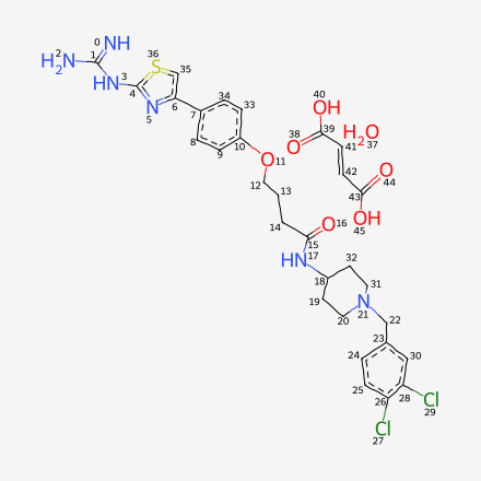 N=C(N)Nc1nc(-c2ccc(OCCCC(=O)NC3CCN(Cc4ccc(Cl)c(Cl)c4)CC3)cc2)cs1.O.O=C(O)/C=C/C(=O)O